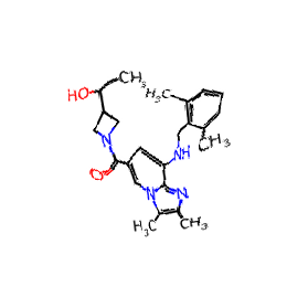 Cc1cccc(C)c1CNc1cc(C(=O)N2CC(C(C)O)C2)cn2c(C)c(C)nc12